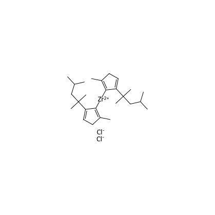 CC1=[C]([Zr+2][C]2=C(C)CC=C2C(C)(C)CC(C)C)C(C(C)(C)CC(C)C)=CC1.[Cl-].[Cl-]